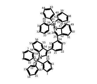 c1ccc([Si](c2ccccc2)(c2ccccc2)n2cc(-c3cccc(-c4cn([Si](c5ccccc5)(c5ccccc5)c5ccccc5)c5ccccc45)c3)c3ccccc32)cc1